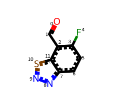 O=Cc1c(F)ccc2nnsc12